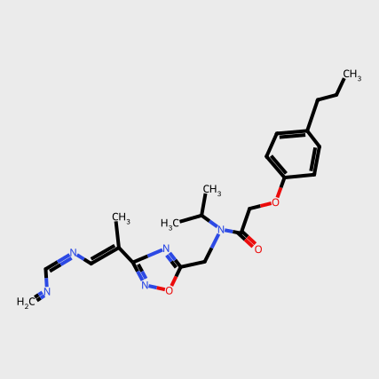 C=N/C=N\C=C(/C)c1noc(CN(C(=O)COc2ccc(CCC)cc2)C(C)C)n1